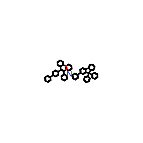 c1ccc(-c2ccc(-c3c(-c4ccccc4N(c4ccccc4)c4cccc(-c5ccc6c(c5)C(c5ccccc5)(c5ccccc5)c5ccccc5-6)c4)ccc4ccccc34)cc2)cc1